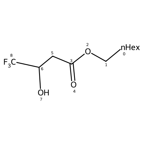 CCCCCCCOC(=O)CC(O)C(F)(F)F